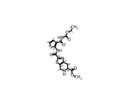 CCOC(=O)NC(=O)c1ccsc1NC(=O)c1nc2c(s1)CNC(C(=O)OC)C2